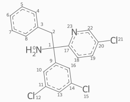 NC(Cc1ccccc1)(c1cc(Cl)cc(Cl)c1)c1ccc(Cl)cn1